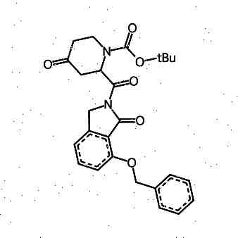 CC(C)(C)OC(=O)N1CCC(=O)CC1C(=O)N1Cc2cccc(OCc3ccccc3)c2C1=O